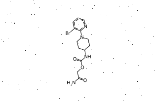 NC(=O)COC(=O)NC1CCN(c2ncccc2Br)CC1